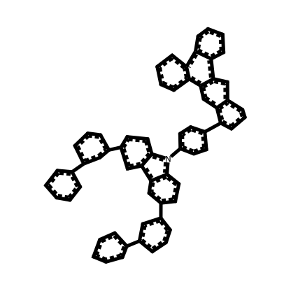 c1ccc(-c2cccc(-c3ccc4c(c3)c3cc(-c5cccc(-c6ccccc6)c5)ccc3n4-c3ccc(-c4cccc5cc6c7ccccc7c7ccccc7c6cc45)cc3)c2)cc1